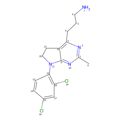 Cc1nc(CCCN)c2c(n1)N(c1ccc(Cl)cc1Cl)CC2